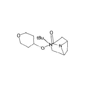 CC(C)(C)N1CC2CC(C1)N2C(=O)OC1CCOCC1